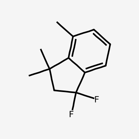 Cc1cccc2c1C(C)(C)CC2(F)F